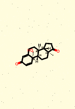 C[C@]12CC[C@H]3[C@@H](CCC4=CC(=O)C=C[C@@]43CO)[C@@H]1CCC2=O